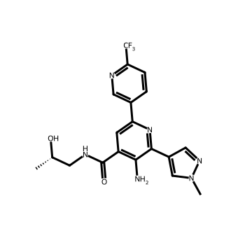 C[C@H](O)CNC(=O)c1cc(-c2ccc(C(F)(F)F)nc2)nc(-c2cnn(C)c2)c1N